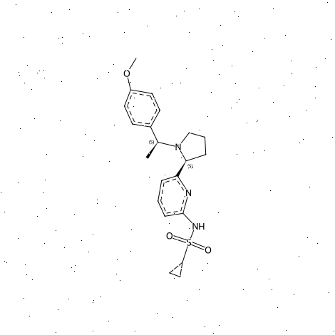 COc1ccc([C@H](C)N2CCC[C@H]2c2cccc(NS(=O)(=O)C3CC3)n2)cc1